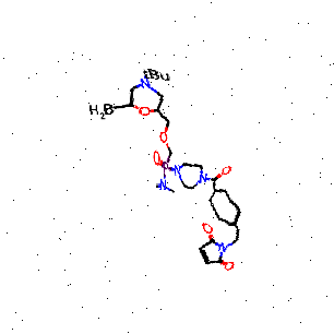 BC1CN(C(C)(C)C)CC(COCP(=O)(N(C)C)N2CCN(C(=O)C3CCC(CN4C(=O)C=CC4=O)CC3)CC2)O1